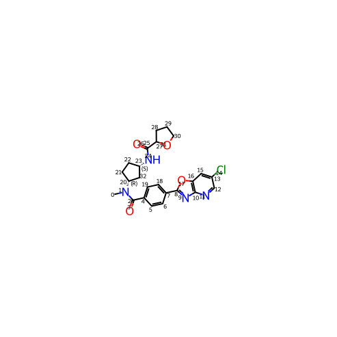 CN(C(=O)c1ccc(-c2nc3ncc(Cl)cc3o2)cc1)[C@@H]1CC[C@H](NC(=O)C2CCCO2)C1